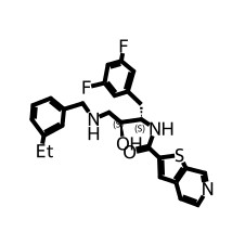 CCc1cccc(CNC[C@H](O)[C@H](Cc2cc(F)cc(F)c2)NC(=O)c2cc3ccncc3s2)c1